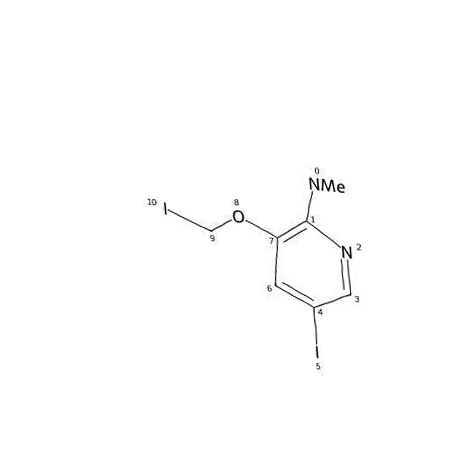 CNc1ncc(I)cc1OCI